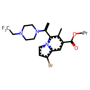 C=C(c1c(C)c(C(=O)OC(C)C)cc2c(Br)ccn12)N1CCN(CC(F)(F)F)CC1